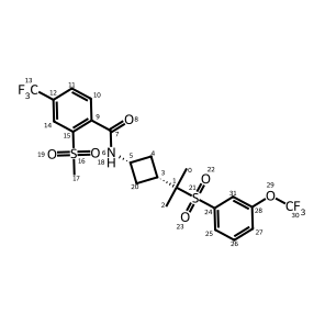 CC(C)([C@H]1C[C@@H](NC(=O)c2ccc(C(F)(F)F)cc2S(C)(=O)=O)C1)S(=O)(=O)c1cccc(OC(F)(F)F)c1